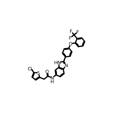 O=C(Cc1ccc(Cl)s1)Nc1ccc2nc(-c3ccc(Oc4ccccc4C(F)(F)F)cc3)[nH]c2c1